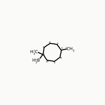 BC1(C)CCCC(C)CCC1